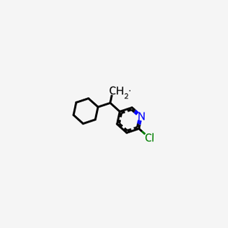 [CH2]C(c1ccc(Cl)nc1)C1CCCCC1